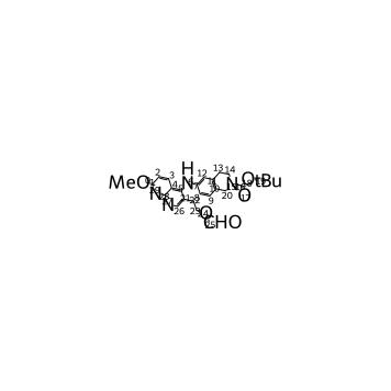 COc1ccc2c(Nc3ccc4c(c3)CCN(C(=O)OC(C)(C)C)C4)c(CCOC=O)cnc2n1